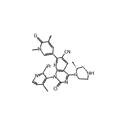 Cc1ccnc(C(C)C)c1-n1c(=O)nc(N2CCNC[C@@H]2C)c2cc(C#N)c(-c3cc(C)c(=O)n(C)c3)nc21